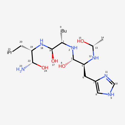 CCC(C)[C@H](N[C@@H](O)[C@H](Cc1c[nH]cn1)N[C@@H](C)O)[C@@H](O)N[C@@H](CC(C)C)[C@@H](N)O